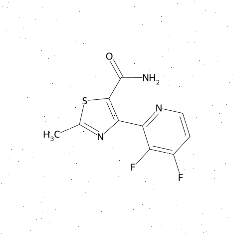 Cc1nc(-c2nccc(F)c2F)c(C(N)=O)s1